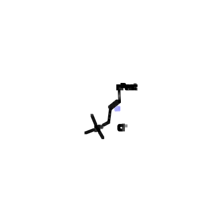 CCCCC/C=C/C[N+](C)(C)C.[Cl-]